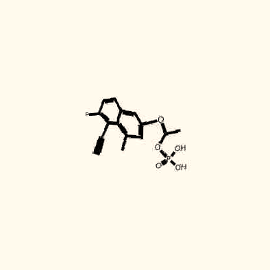 C#Cc1c(F)ccc2cc(OC(C)OP(=O)(O)O)cc(C)c12